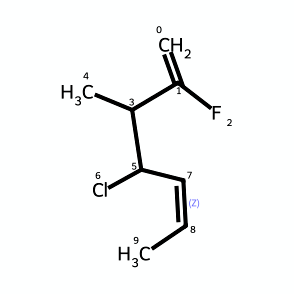 C=C(F)C(C)C(Cl)/C=C\C